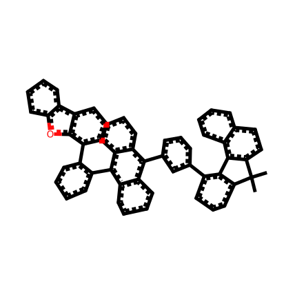 CC1(C)c2cccc(-c3cccc(-c4c5ccccc5c(-c5ccccc5-c5cccc6c5oc5ccccc56)c5ccccc45)c3)c2-c2c1ccc1ccccc21